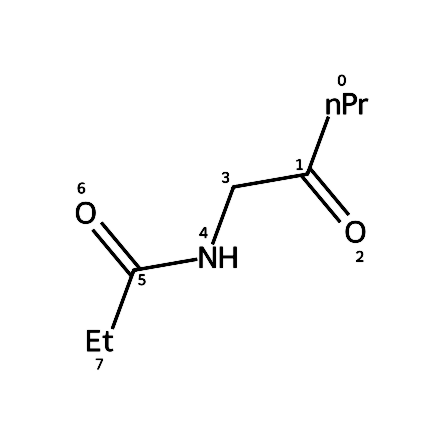 CCCC(=O)CNC(=O)CC